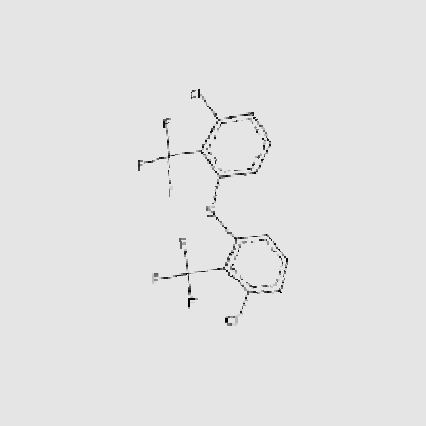 FC(F)(F)c1c(Cl)cccc1Sc1cccc(Cl)c1C(F)(F)F